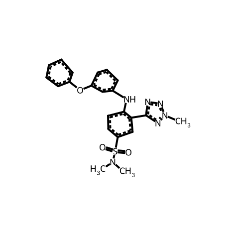 CN(C)S(=O)(=O)c1ccc(Nc2cccc(Oc3ccccc3)c2)c(-c2nnn(C)n2)c1